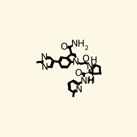 Cc1cccc(NC(=O)[C@@H]2[C@H]3CC[C@H](C3)N2C(=O)Cn2cc(C(N)=O)c3cc(-c4cnc(C)nc4)ccc32)n1